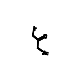 CC(=O)CC(=O)[CH2][Ir]